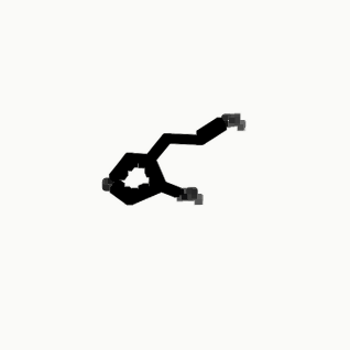 C=CCc1cocc1[N+](=O)[O-]